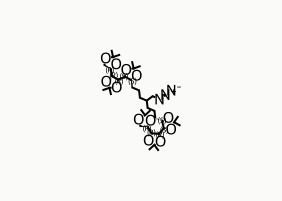 CC1(C)O[C@H]([C@H]2OC(C)(C)O[C@H]2CCCC(CCC[C@@H]2OC(C)(C)O[C@@H]2[C@H]2OC(C)(C)O[C@@H]2[C@H]2COC(C)(C)O2)CN=[N+]=[N-])[C@@H]([C@H]2COC(C)(C)O2)O1